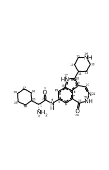 N[C@@H](C(=O)Nc1cc2c3c(c(C4CCNCC4)[nH]c3c1)C=NNC2=O)C1CCCCC1